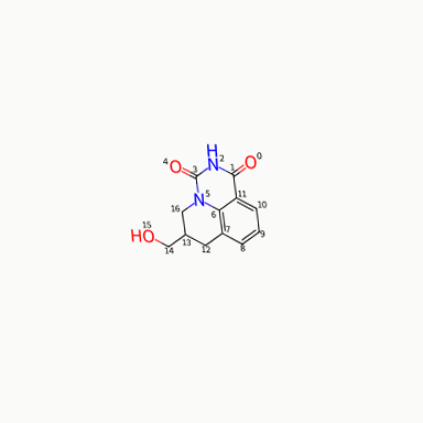 O=c1[nH]c(=O)n2c3c(cccc13)CC(CO)C2